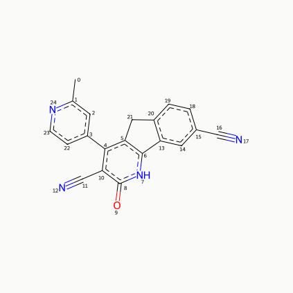 Cc1cc(-c2c3c([nH]c(=O)c2C#N)-c2cc(C#N)ccc2C3)ccn1